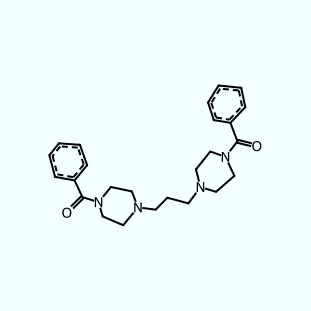 O=C(c1ccccc1)N1CCN(CCCN2CCN(C(=O)c3ccccc3)CC2)CC1